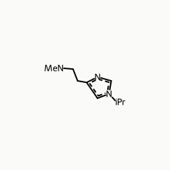 CNCCc1cn(C(C)C)cn1